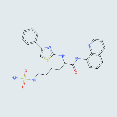 NS(=O)(=O)NCCCCC(Nc1nc(-c2ccccc2)cs1)C(=O)Nc1cccc2cccnc12